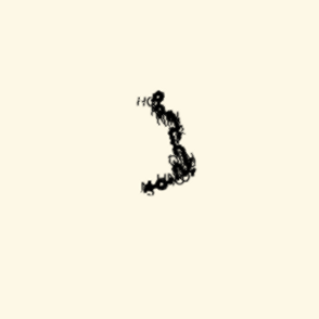 Cc1ncsc1-c1ccc([C@H](C)NC(=O)[C@@H]2C[C@@H](O)CN2C(=O)[C@@H](c2cc(N3CCC(CN4CCC([C@H](C)n5cc(-c6cc(-c7ccccc7O)nnc6N)cn5)CC4)CC3)no2)C(C)C)cc1